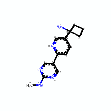 CNc1ncc(-c2ccc(C3(N)CCC3)cn2)cn1